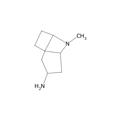 CN1C2CCC23CC(N)CC13